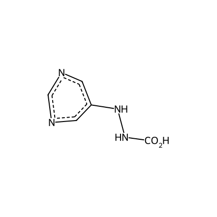 O=C(O)NNc1cncnc1